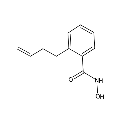 C=CCCc1ccccc1C(=O)NO